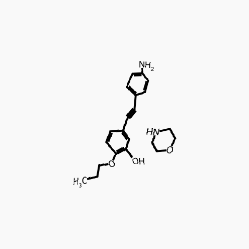 C1COCCN1.CCCOc1ccc(C#Cc2ccc(N)cc2)cc1O